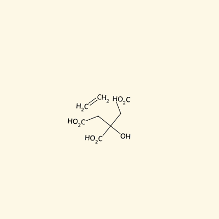 C=C.O=C(O)CC(O)(CC(=O)O)C(=O)O